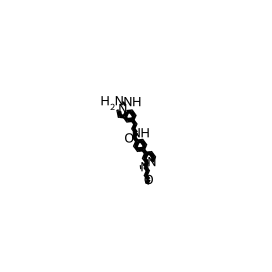 COCCN(C)c1cc(-c2ccc(C(=O)NCCc3ccc4c(ccn4C(=N)N)c3)cc2)ccn1